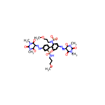 COCCCNS(=O)(=O)c1cc(N=NC2C(=O)N(C)C(=O)N(C)C2=O)ccc1-c1ccc(N=NC2C(=O)N(C)C(=O)N(C)C2=O)cc1N(CCCOC)[SH](=O)=O